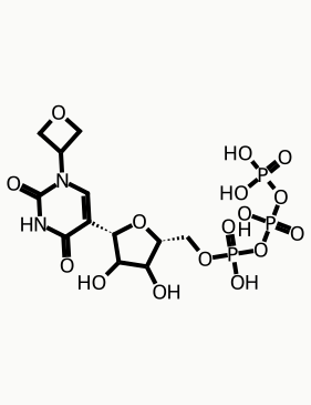 O=c1[nH]c(=O)n(C2COC2)cc1[C@@H]1O[C@H](COP(=O)(O)OP(=O)(O)OP(=O)(O)O)C(O)C1O